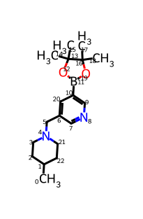 CC1CCN(Cc2cncc(B3OC(C)(C)C(C)(C)O3)c2)CC1